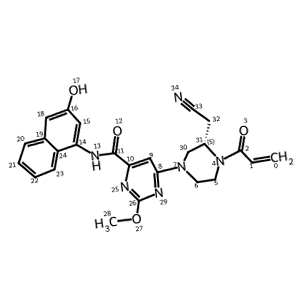 C=CC(=O)N1CCN(c2cc(C(=O)Nc3cc(O)cc4ccccc34)nc(OC)n2)C[C@@H]1CC#N